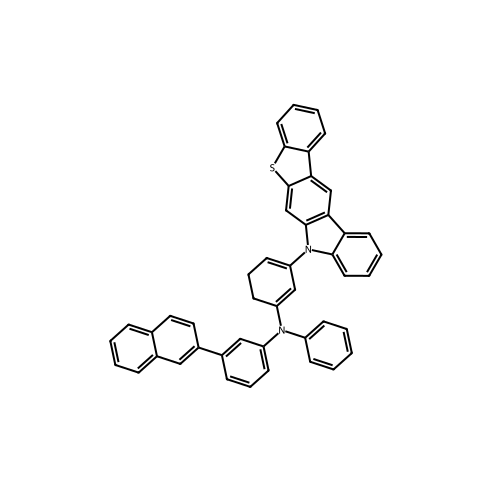 C1=C(N(c2ccccc2)c2cccc(-c3ccc4ccccc4c3)c2)CCC=C1n1c2ccccc2c2cc3c(cc21)sc1ccccc13